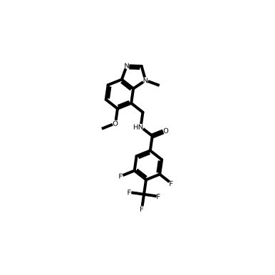 COc1ccc2ncn(C)c2c1CNC(=O)c1cc(F)c(C(F)(F)F)c(F)c1